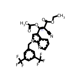 CCOC(=O)/C(C#N)=C(\OC(C)=O)c1cn(Cc2cc(C(F)(F)F)cc(C(F)(F)F)c2)c2ncccc12